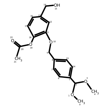 COC(OC)c1ccc(COc2cc(CO)ccc2OC(C)=O)cc1